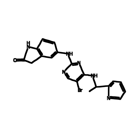 CC(Nc1nc(Nc2ccc3c(c2)CC(=O)N3)ncc1Br)c1ccccn1